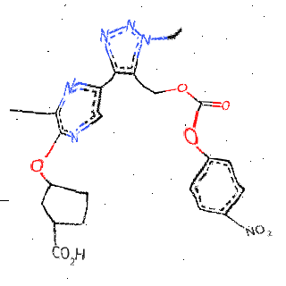 Cc1nc(-c2nnn(C)c2COC(=O)Oc2ccc([N+](=O)[O-])cc2)cnc1OC1CCC(C(=O)O)C1